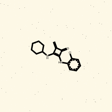 C=C1C(=O)C(Nc2ccccc2Cl)=C1NC1CCCCC1